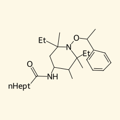 CCCCCCCC(=O)NC1CC(C)(CC)N(OC(C)c2ccccc2)C(C)(CC)C1C